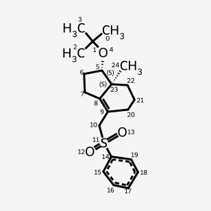 CC(C)(C)O[C@H]1CCC2=C(CS(=O)(=O)c3ccccc3)CCC[C@@]21C